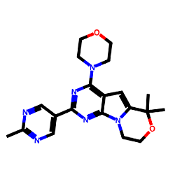 Cc1ncc(-c2nc(N3CCOCC3)c3cc4n(c3n2)CCOC4(C)C)cn1